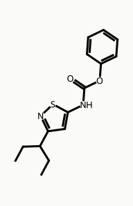 CCC(CC)c1cc(NC(=O)Oc2ccccc2)sn1